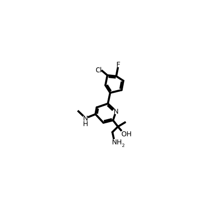 CNc1cc(-c2ccc(F)c(Cl)c2)nc(C(C)(O)CN)c1